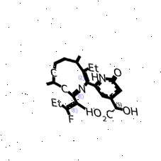 CC/C1=C(c2cc([C@H](O)C(=O)O)cc(=O)[nH]2)/N=C(/C(C)=C(/F)CC)CC(C)CCCC1C